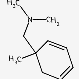 CN(C)CC1(C)C=CC=CC1